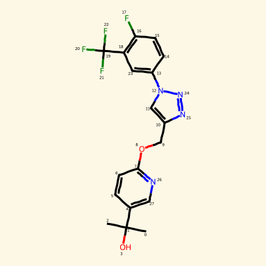 CC(C)(O)c1ccc(OCc2cn(-c3ccc(F)c(C(F)(F)F)c3)nn2)nc1